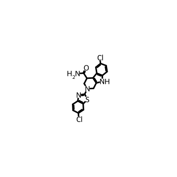 NC(=O)C1CN(c2nc3ccc(Cl)cc3s2)Cc2[nH]c3ccc(Cl)cc3c21